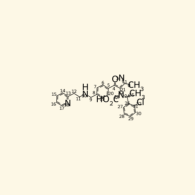 Cc1noc(-c2ccc(CNCCc3ccccn3)cc2)c1N(C(=O)O)C(C)c1ccccc1Cl